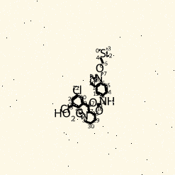 C[Si](C)(C)CCOCn1ncc2cc(NC(=O)OC(c3cc(Cl)cc(Cl)c3)C3CCCCN3C(=O)O)ccc21